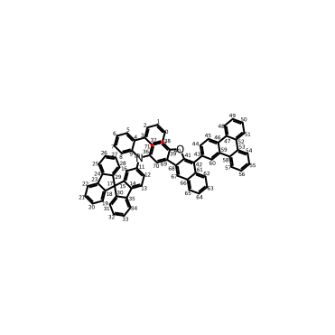 c1ccc(-c2ccccc2N(c2ccc3c(c2)C2(c4ccccc4-c4ccccc42)c2ccccc2-3)c2ccc3oc4c(-c5ccc6c7ccccc7c7ccccc7c6c5)c5ccccc5cc4c3c2)cc1